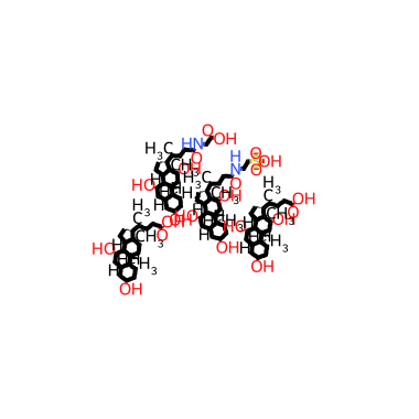 C[C@H](CCC(=O)NCC(=O)O)[C@H]1CC[C@H]2[C@@H]3[C@H](O)C[C@@H]4C[C@H](O)CC[C@]4(C)[C@H]3C[C@H](O)[C@]12C.C[C@H](CCC(=O)NCCS(=O)(=O)O)[C@H]1CC[C@H]2[C@@H]3[C@H](O)C[C@@H]4C[C@H](O)CC[C@]4(C)[C@H]3C[C@H](O)[C@]12C.C[C@H](CCC(=O)O)[C@H]1CC[C@H]2[C@@H]3[C@H](O)C[C@@H]4C[C@H](O)CC[C@]4(C)[C@H]3CC[C@]12C.C[C@H](CCC(=O)O)[C@H]1CC[C@H]2[C@@H]3[C@H](O)C[C@@H]4C[C@H](O)CC[C@]4(C)[C@H]3C[C@H](O)[C@]12C